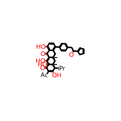 CC(=O)C1=C(O)C(C(C)C)[C@@]2(C)C[C@@]3(C)Cc4c(-c5ccc(CC(=O)C6=CC=CC6)cc5)ccc(O)c4C(=O)C3=C(O)[C@@]2(O)C1=O